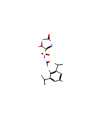 CC(C)c1cc(Cl)cc(C(C)C)c1NC(=O)NS(=O)(=O)C1=CNC(=O)NC1O